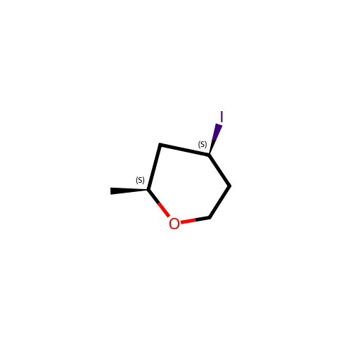 C[C@H]1C[C@@H](I)CCO1